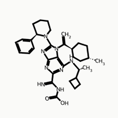 C=C([C@H]1CC[C@H](C)CC1)n1c(N2CCCC[C@@H]2c2ccccc2)nc2nc(C(=N)NC(=O)O)nc(N[C@H](C)C3CCC3)c21